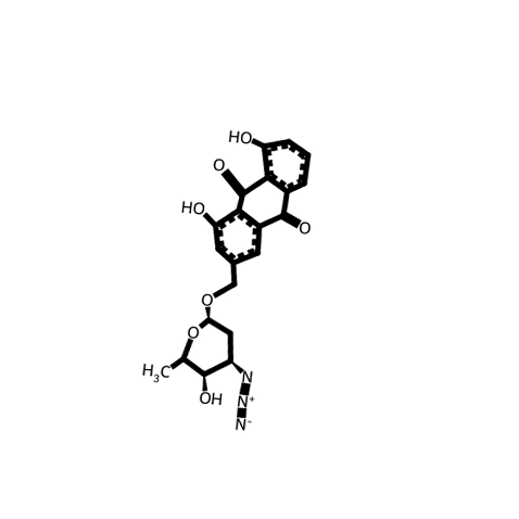 CC1O[C@@H](OCc2cc(O)c3c(c2)C(=O)c2cccc(O)c2C3=O)C[C@@H](N=[N+]=[N-])[C@H]1O